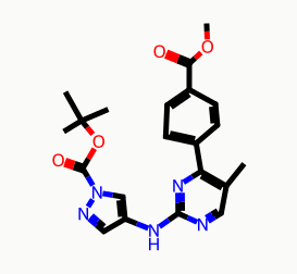 COC(=O)c1ccc(-c2nc(Nc3cnn(C(=O)OC(C)(C)C)c3)ncc2C)cc1